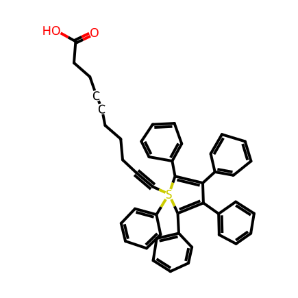 O=C(O)CCCCCCCC#CS1(c2ccccc2)C(c2ccccc2)=C(c2ccccc2)C(c2ccccc2)=C1c1ccccc1